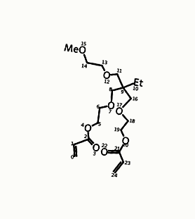 C=CC(=O)OCCOCC(CC)(COCCOC)COCCOC(=O)C=C